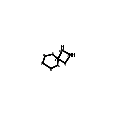 [CH]1CCCC2(C1)CNN2